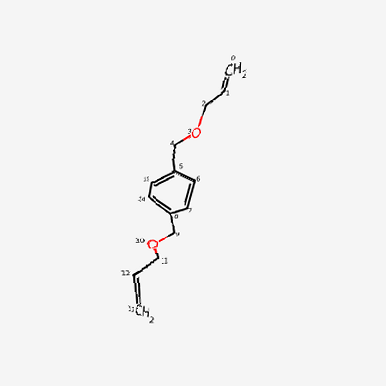 C=CCOCc1ccc(COCC=C)cc1